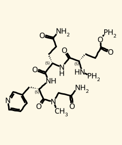 CN(CC(N)=O)C(=O)[C@H](Cc1cccnc1)NC(=O)[C@H](CCC(N)=O)NC(=O)[C@H](CCC(=O)OP)NP